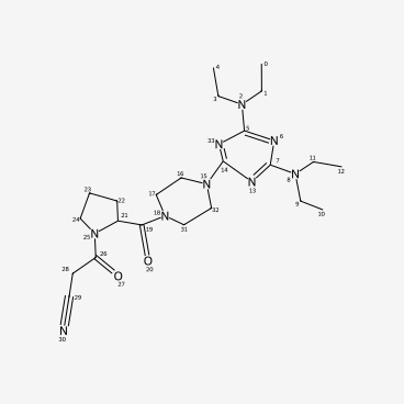 CCN(CC)c1nc(N(CC)CC)nc(N2CCN(C(=O)C3CCCN3C(=O)CC#N)CC2)n1